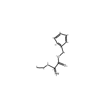 CCSC(=N)C(=O)OCc1ccccc1